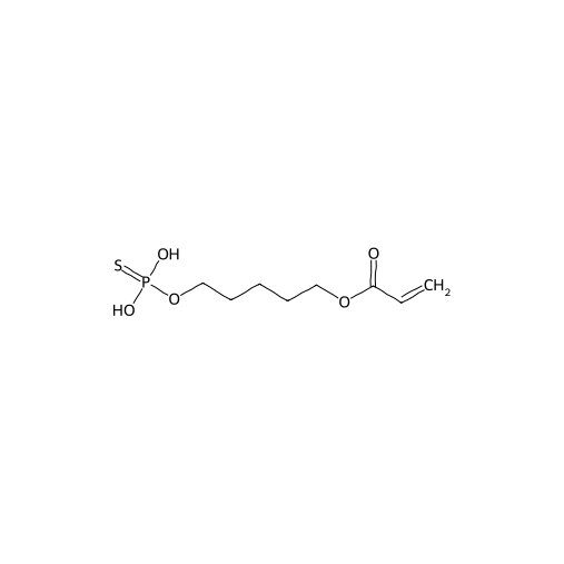 C=CC(=O)OCCCCCOP(O)(O)=S